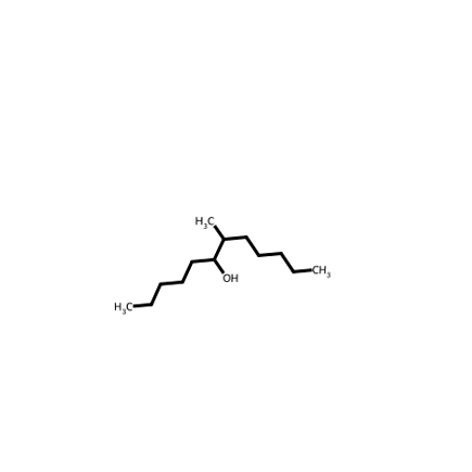 CCCCCC(C)C(O)CCCCC